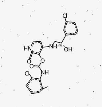 Cc1cccc(Cl)c1NC(=O)Oc1c(NC[C@@H](O)c2cccc(Cl)c2)cc[nH]c1=O